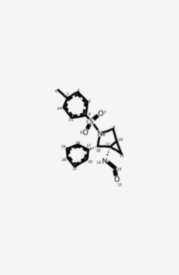 Cc1ccc(S(=O)(=O)N2CC3C[C@@]3(N=C=O)[C@@H]2c2ccccc2)cc1